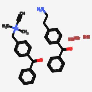 Br.Br.Br.C#C[N+](C)(C)Cc1ccc(C(=O)c2ccccc2)cc1.NCCc1ccc(C(=O)c2ccccc2)cc1